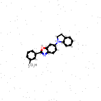 O=C(O)c1cccc(-c2nc3ccc(N4CCc5ccccc54)cc3o2)c1